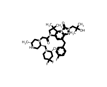 C[C@@H]1CN(CC(=O)N2CC(C)(C)c3c2cc(Cc2ccc(F)cc2)c2nn(CC(C)(C)O)c(=O)n32)[C@@H](CN2CCC(F)(F)C[C@H]2C)CN1